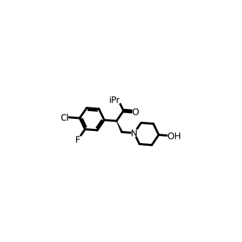 CC(C)C(=O)[C@@H](CN1CCC(O)CC1)c1ccc(Cl)c(F)c1